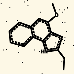 CCc1cc2c(OC)cc3ccccc3c2[nH]1